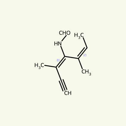 C#C/C(C)=C(NC=O)\C(C)=C/C